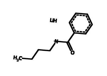 CCCC[N]C(=O)c1ccccc1.[LiH]